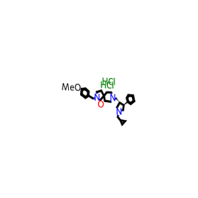 COc1ccc(CN2CCC3(CCN(C[C@H]4CN(CC5CC5)C[C@@H]4c4ccccc4)CC3)C2=O)cc1.Cl.Cl